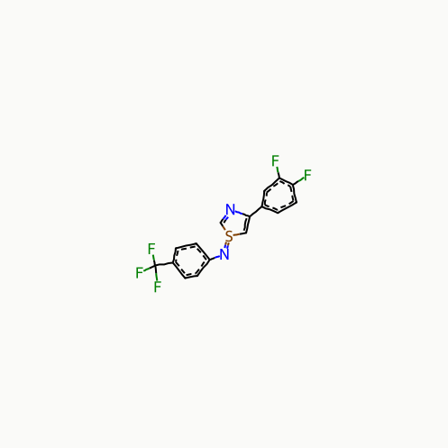 Fc1ccc(C2=CS(=Nc3ccc(C(F)(F)F)cc3)C=N2)cc1F